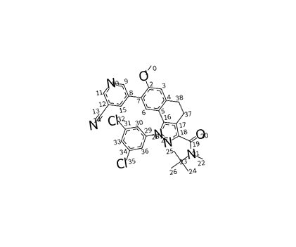 COc1cc2c(cc1-c1cncc(C#N)c1)-c1c(c(C(=O)N(C)C(C)(C)C)nn1-c1cc(Cl)cc(Cl)c1)CC2